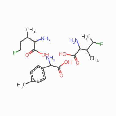 CC(CCF)C(N)C(=O)O.CC(F)C(C)C(N)C(=O)O.Cc1ccc(C(N)C(=O)O)cc1